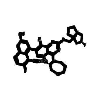 C#Cc1c(F)ccc2cc(O)cc(-c3ncc4c(N5CCCOC[C@@H]5C)nc(OC[C@@]56CCCN5C[C@H](F)C6)nc4c3F)c12